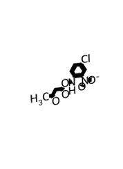 CC(=O)CC(=O)ONc1ccc(Cl)cc1[N+](=O)[O-]